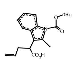 C=CCC(C(=O)O)c1c(C)n(C(=O)OC(C)(C)C)c2ccccc12